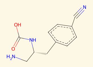 N#Cc1ccc(C[C@H](CN)NC(=O)O)cc1